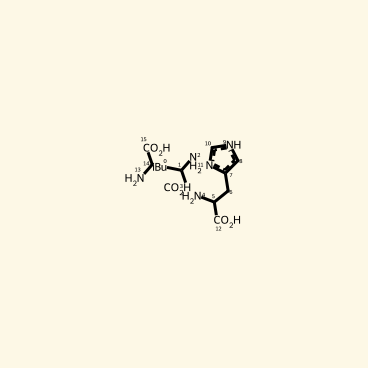 CCC(C)C(N)C(=O)O.NC(Cc1c[nH]cn1)C(=O)O.NCC(=O)O